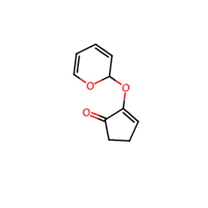 O=C1CCC=C1OC1C=CC=CO1